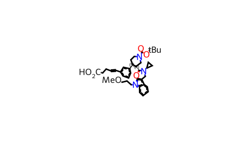 COCCCn1cc(CN(C(=O)[C@H]2CN(C(=O)OC(C)(C)C)CC[C@@H]2c2cccc(C#CCCC(=O)O)c2)C2CC2)c2ccccc21